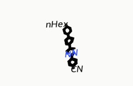 CCCCCCC1CCC(c2ccc(-c3cnc(-c4ccc(C#N)cc4)nc3)cc2)CC1